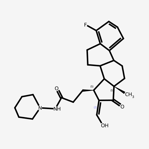 C[C@]12CCC3c4cccc(F)c4CCC3C1[C@H](CCC(=O)NN1CCCCC1)/C(=C/O)C2=O